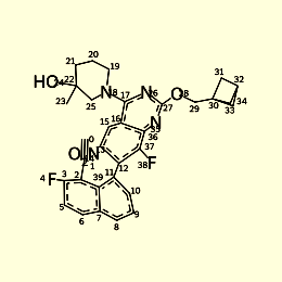 C#Cc1c(F)ccc2cccc(-c3c([N+](=O)[O-])cc4c(N5CCCC(C)(O)C5)nc(OCC56CC(C5)C6)nc4c3F)c12